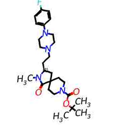 CN1C(=O)C2(CCN(C(=O)OC(C)(C)C)CC2)C[C@@H]1CCN1CCN(c2ccc(F)cc2)CC1